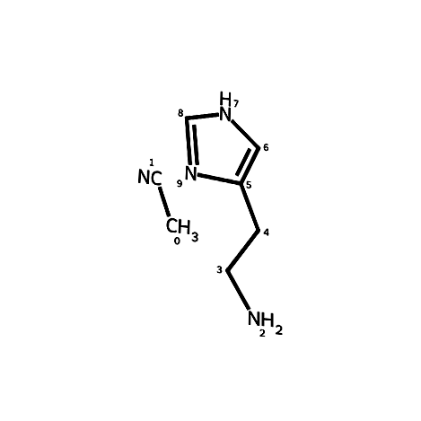 CC#N.NCCc1c[nH]cn1